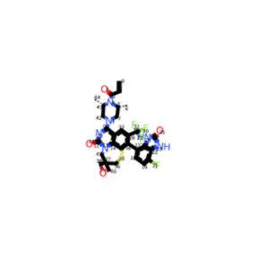 C=CC(=O)N1[C@H](C)CN(c2nc(=O)n3c4c(c(-c5ccc(F)c6[nH]c(=O)[nH]c56)c(C(F)(F)F)cc24)SCC2(COC2)C3)C[C@@H]1C